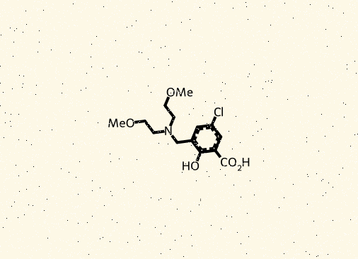 COCCN(CCOC)Cc1cc(Cl)cc(C(=O)O)c1O